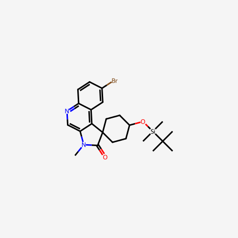 CN1C(=O)C2(CCC(O[Si](C)(C)C(C)(C)C)CC2)c2c1cnc1ccc(Br)cc21